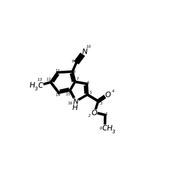 CCOC(=O)c1cc2c(C#N)cc(C)cc2[nH]1